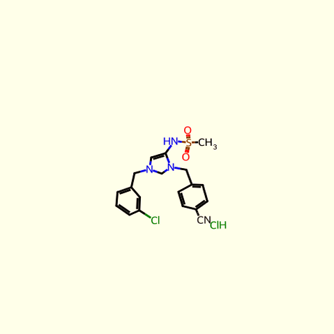 CS(=O)(=O)NC1=CN(Cc2cccc(Cl)c2)CN1Cc1ccc(C#N)cc1.Cl